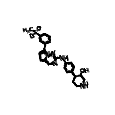 CS(=O)(=O)c1cccc(-c2ccc3cnc(Nc4ccc(C5CCNCC5O)cc4)nn23)c1